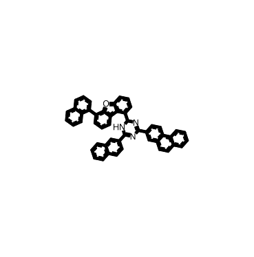 c1ccc2cc(C3=NC(c4ccc5c(ccc6ccccc65)c4)=NC(c4cccc5oc6c(-c7cccc8ccccc78)cccc6c45)N3)ccc2c1